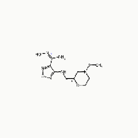 CSN1CCO[C@@H](CNc2nonc2/C(N)=N\O)C1